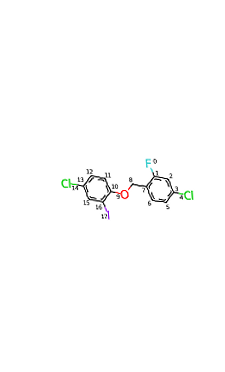 Fc1cc(Cl)ccc1COc1ccc(Cl)cc1I